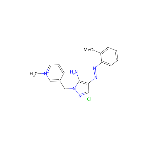 COc1ccccc1/N=N/c1cnn(Cc2ccc[n+](C)c2)c1N.[Cl-]